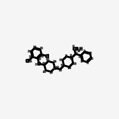 O=C(O)C(c1ccccc1)N1CCC(CN2CCC(Oc3c(Cl)cccc3Cl)CC2)CC1